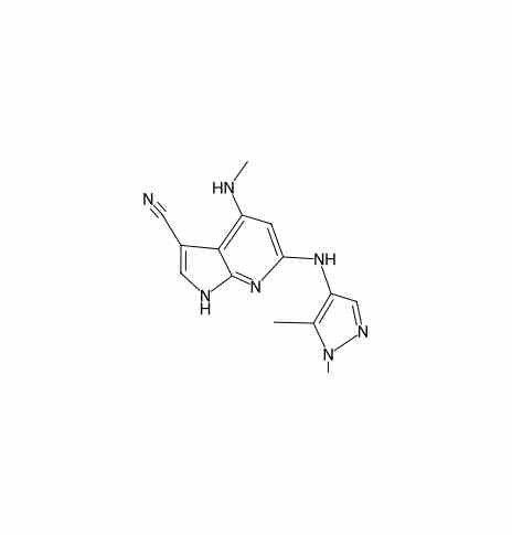 CNc1cc(Nc2cnn(C)c2C)nc2[nH]cc(C#N)c12